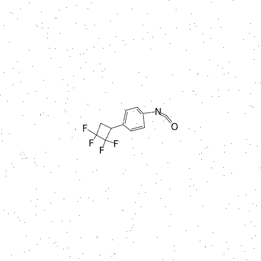 O=C=Nc1ccc(C2CC(F)(F)C2(F)F)cc1